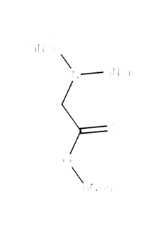 CCCCCCCCCOC(=O)CN(CCCCCCCCC)CCCCCCCCC